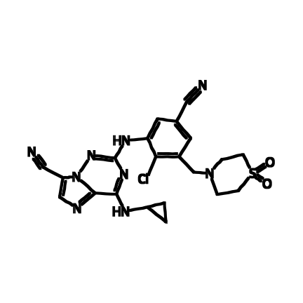 N#Cc1cc(CN2CCS(=O)(=O)CC2)c(Cl)c(Nc2nc(NC3CC3)c3ncc(C#N)n3n2)c1